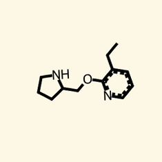 CCc1cccnc1OCC1CCCN1